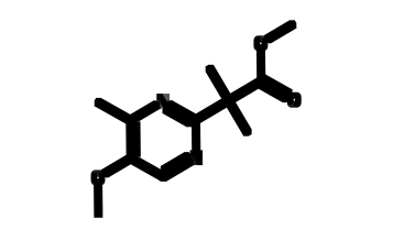 COC(=O)C(C)(C)c1ncc(OC)c(C)n1